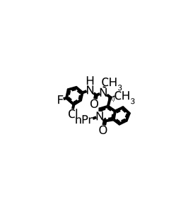 CCCn1cc([C@@H](C)N(C)C(=O)Nc2ccc(F)c(Cl)c2)c2ccccc2c1=O